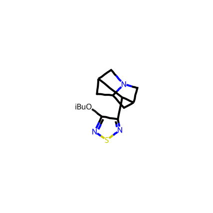 CC(C)COc1nsnc1C1C2CC3CC1CN3C2